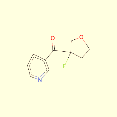 O=C(c1cccnc1)C1(F)CCOC1